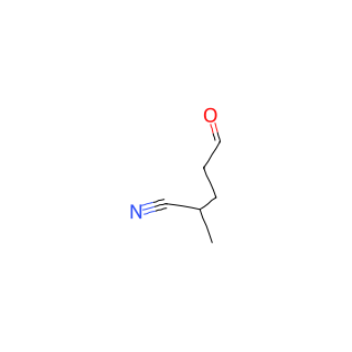 CC(C#N)CCC=O